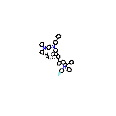 CC1(C)c2cc(-c3cccc4c3ccc3c(-c5ccccc5)c(-c5ccccc5)n(-c5ccc(F)cc5)c34)ccc2-c2ccc(N(c3ccc(-c4ccccc4)cc3)c3ccc(N(c4ccccc4)c4ccccc4)cc3)cc21